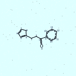 O=C(CCC1=CC=CC1)c1ccccc1